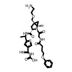 CC(NC(=O)[C@@H]1C[C@]2(COCCN)C[C@@H]2N1C(=O)CNC(=O)CCCOc1ccccc1)c1cc(C(=N)NC(=O)O)cs1